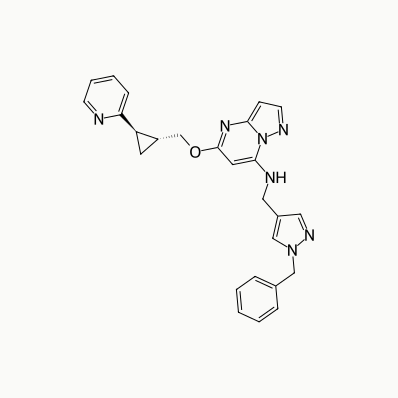 c1ccc(Cn2cc(CNc3cc(OC[C@@H]4C[C@H]4c4ccccn4)nc4ccnn34)cn2)cc1